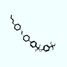 CCCC[C@H]1CC[C@H](CC[C@H]2CC[C@H](c3ccc(C(F)(F)Oc4ccc(C(F)(F)F)cc4)cc3)CC2)CC1